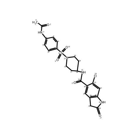 CC(=O)Nc1ccc(S(=O)(=O)N2CCC(NC(=O)c3cc4c(cc3Cl)NC(=O)C4)CC2)cc1